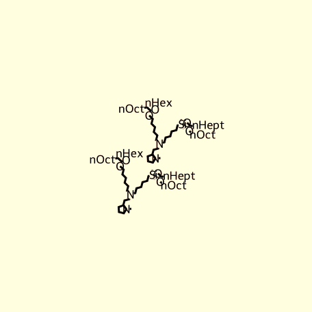 CCCCCCCCOC(CCCCCCC)O[Si](C)(C)CCCCCCN(CCCCCCOC(=O)C(CCCCCC)CCCCCCCC)CCC1CCCN1C.CCCCCCCCOC(CCCCCCC)O[Si](C)(C)CCCCCCN(CCCCCCOC(=O)C(CCCCCC)CCCCCCCC)CCC1CCCN1C